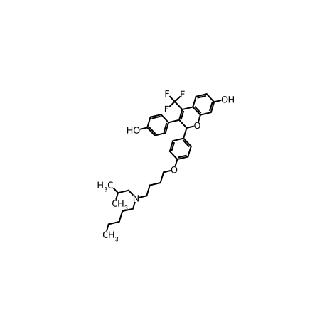 CCCCCN(CCCCOc1ccc(C2Oc3cc(O)ccc3C(C(F)(F)F)=C2c2ccc(O)cc2)cc1)CC(C)C